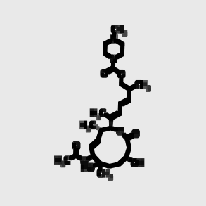 CC(=O)O[C@H]1/C=C/[C@H](C)[C@@H](/C(C)=C/C=C/C(C)COC(=O)N2CCN(C)CC2)OC(=O)C[C@@H](O)CC[C@]1(C)O